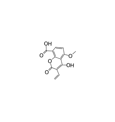 C=Cc1c(O)c2c(OC)ccc(C(=O)O)c2oc1=O